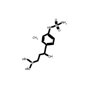 C.CCCCN(CCCC)CCC(O)c1ccc(NS(N)(=O)=O)cc1